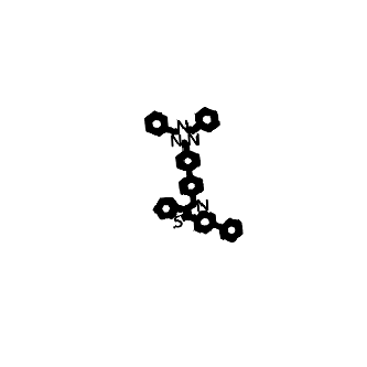 c1ccc(-c2ccc3c(c2)nc(-c2ccc(-c4ccc(-c5nc(-c6ccccc6)nc(-c6ccccc6)n5)cc4)cc2)c2c4ccccc4sc32)cc1